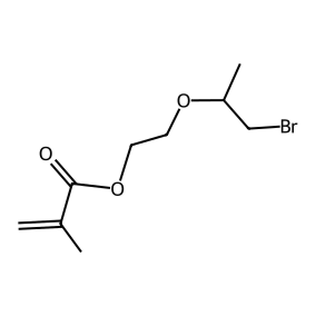 C=C(C)C(=O)OCCOC(C)CBr